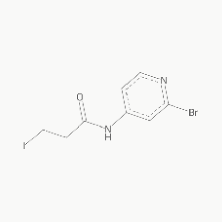 O=C(CCI)Nc1ccnc(Br)c1